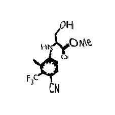 COC(=O)C(CO)Nc1ccc(C#N)c(C(F)(F)F)c1C